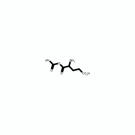 CCCC(=O)OC(=O)C(N)CCC(=O)O